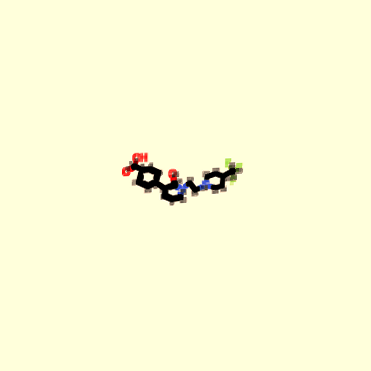 O=C(O)c1ccc(-c2cccn(CCN3CCC(C(F)(F)F)CC3)c2=O)cc1